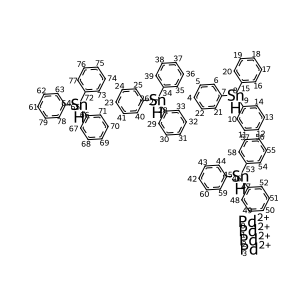 [Pd+2].[Pd+2].[Pd+2].[Pd+2].c1cc[c]([SnH]([c]2ccccc2)[c]2ccccc2)cc1.c1cc[c]([SnH]([c]2ccccc2)[c]2ccccc2)cc1.c1cc[c]([SnH]([c]2ccccc2)[c]2ccccc2)cc1.c1cc[c]([SnH]([c]2ccccc2)[c]2ccccc2)cc1